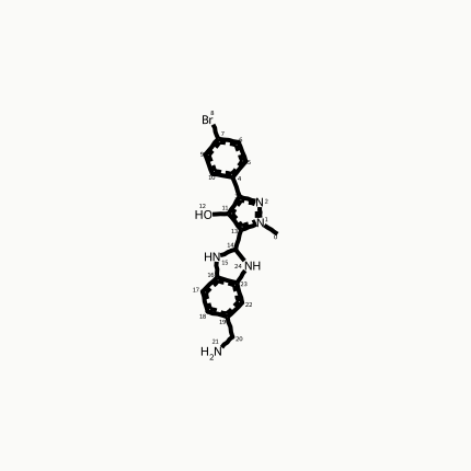 Cn1nc(-c2ccc(Br)cc2)c(O)c1C1Nc2ccc(CN)cc2N1